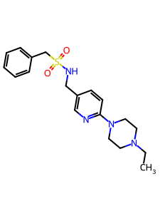 CCN1CCN(c2ccc(CNS(=O)(=O)Cc3ccccc3)cn2)CC1